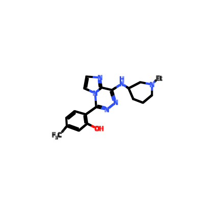 CCN1CCCC(Nc2nnc(-c3ccc(C(F)(F)F)cc3O)n3ccnc23)C1